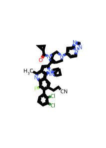 Cc1nc2c(F)c(-c3cccc(Cl)c3Cl)c(CCC#N)cc2c2c1cc(C1C3CC(CN(c4ccn5ncnc5c4)C3)N1C(=O)C1CC1)n2C1C2CNC1C2